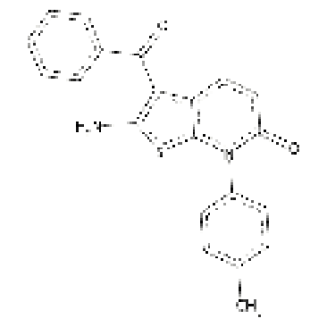 Cc1ccc(-n2c(=O)ccc3c(C(=O)c4ccccc4)c(N)sc32)cc1